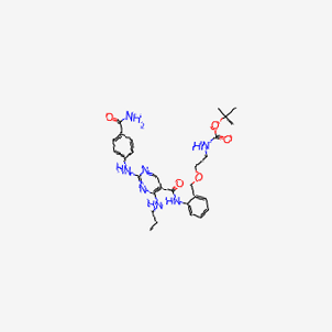 CCCNc1nc(Nc2ccc(C(N)=O)cc2)ncc1C(=O)Nc1ccccc1COCCNC(=O)OC(C)(C)C